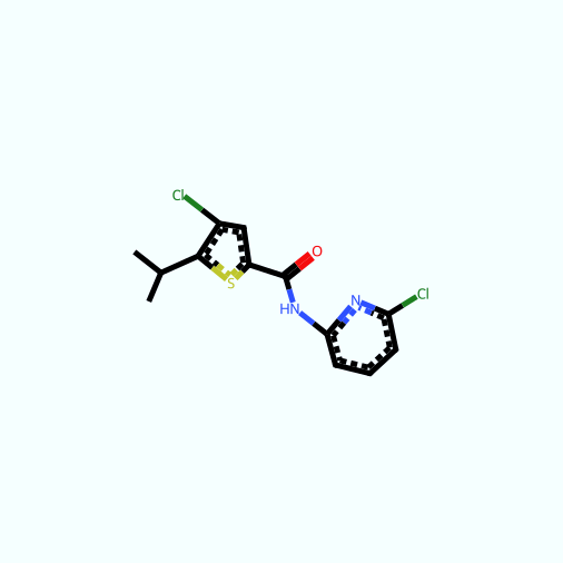 CC(C)c1sc(C(=O)Nc2cccc(Cl)n2)cc1Cl